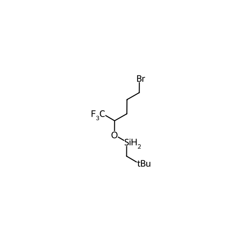 CC(C)(C)C[SiH2]OC(CCCBr)C(F)(F)F